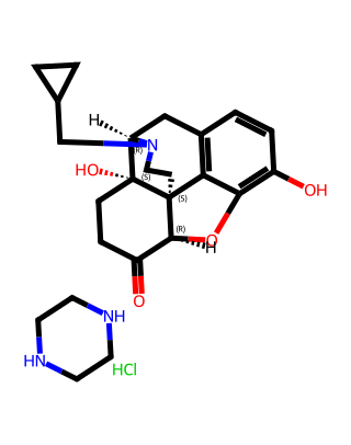 C1CNCCN1.Cl.O=C1CC[C@@]2(O)[C@H]3Cc4ccc(O)c5c4[C@@]2(CCN3CC2CC2)[C@H]1O5